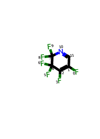 FC1=C(F)C(F)(F)C(F)(F)N=[C]1